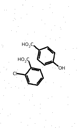 O=C(O)c1ccc(O)cc1.O=C(O)c1ccccc1Cl